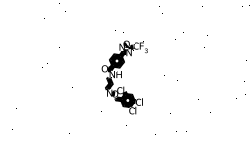 O=C(NCC/C=N\OCc1cc(Cl)c(Cl)cc1Cl)c1ccc(-c2noc(C(F)(F)F)n2)cc1